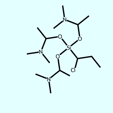 CCC(Cl)[Si](OC(C)N(C)C)(OC(C)N(C)C)OC(C)N(C)C